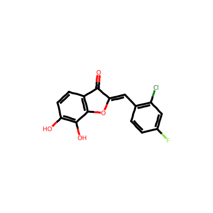 O=C1C(=Cc2ccc(F)cc2Cl)Oc2c1ccc(O)c2O